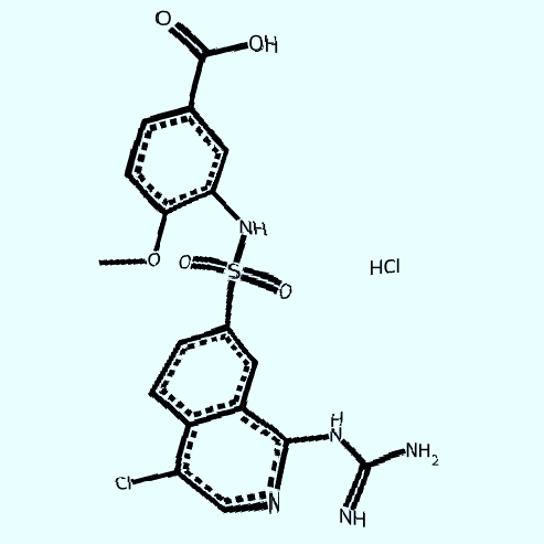 COc1ccc(C(=O)O)cc1NS(=O)(=O)c1ccc2c(Cl)cnc(NC(=N)N)c2c1.Cl